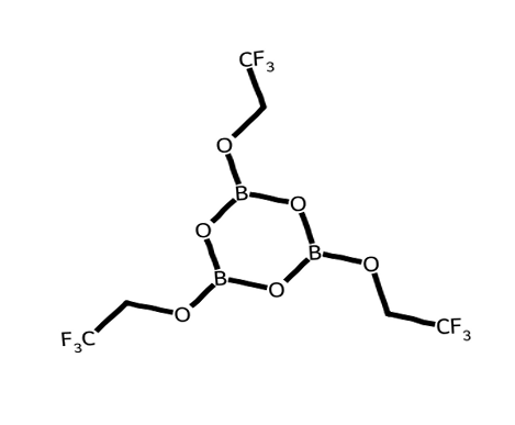 FC(F)(F)COB1OB(OCC(F)(F)F)OB(OCC(F)(F)F)O1